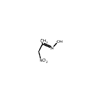 CC(C[N+](=O)[O-])=NO